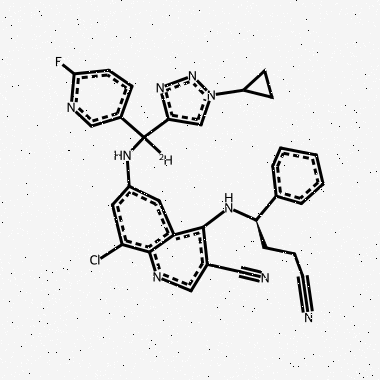 [2H]C(Nc1cc(Cl)c2ncc(C#N)c(N[C@H](CCC#N)c3ccccc3)c2c1)(c1ccc(F)nc1)c1cn(C2CC2)nn1